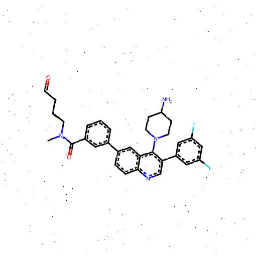 CN(CCCC=O)C(=O)c1cccc(-c2ccc3ncc(-c4cc(F)cc(F)c4)c(N4CCC(N)CC4)c3c2)c1